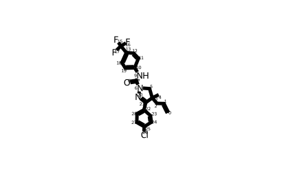 C=CCC1(C)CN(C(=O)Nc2ccc(C(F)(F)F)cc2)N=C1c1ccc(Cl)cc1